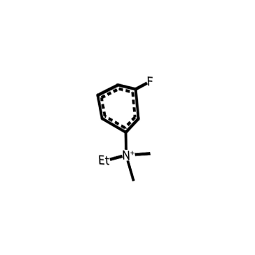 [CH2]C[N+](C)(C)c1cccc(F)c1